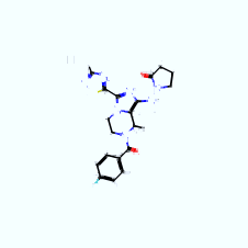 Cc1nsc(-c2nc(N(C)N3CCCC3=O)c3n2CCN(C(=O)c2ccc(F)cc2)C3C)n1